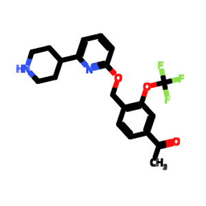 CC(=O)c1ccc(COc2cccc(C3CCNCC3)n2)c(OC(F)(F)F)c1